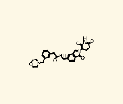 O=C(Cc1cccc(CN2CCOCC2)c1)NCc1ccc2c(c1)CN(C1CCC(=O)NC1=O)C2=O